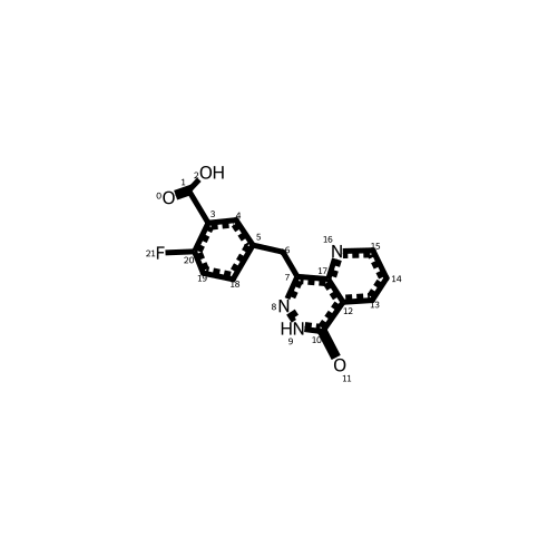 O=C(O)c1cc(Cc2n[nH]c(=O)c3cccnc23)ccc1F